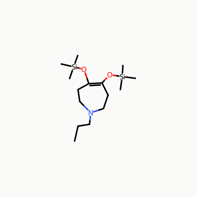 CCCN1CCC(O[Si](C)(C)C)=C(O[Si](C)(C)C)CC1